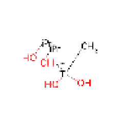 CC(C)O.CC(C)O.C[CH]1[CH2][Ti]1([OH])[OH]